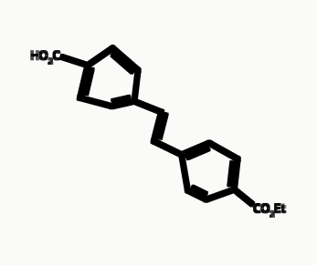 CCOC(=O)c1ccc(C=Cc2ccc(C(=O)O)cc2)cc1